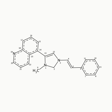 CN1CN(C=Cc2ccccc2)C=C1c1cccc2ncccc12